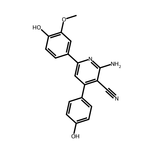 COc1cc(-c2cc(-c3ccc(O)cc3)c(C#N)c(N)n2)ccc1O